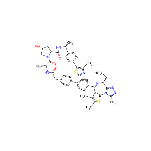 Cc1ncsc1-c1ccc([C@H](C)NC(=O)[C@@H]2C[C@@H](O)CN2C(=O)[C@@H](NC(=O)Cc2ccc(-c3ccc(C4=N[C@@H](CC(=O)O)c5nnc(C)n5-c5sc(C)c(C)c54)cc3)cc2)C(C)(C)C)cc1